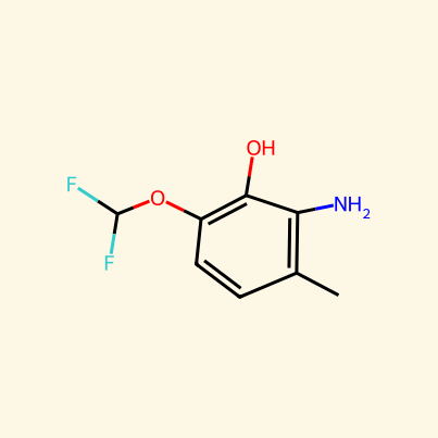 Cc1ccc(OC(F)F)c(O)c1N